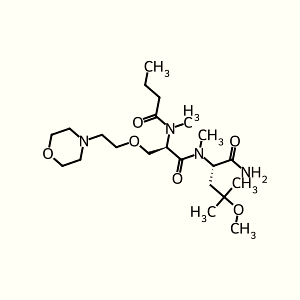 CCCC(=O)N(C)[C@H](COCCN1CCOCC1)C(=O)N(C)[C@@H](CC(C)(C)OC)C(N)=O